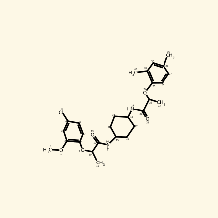 COc1cc(Cl)ccc1OC(C)C(=O)NC1CCC(NC(=O)C(C)Oc2ccc(C)cc2C)CC1